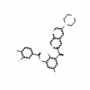 O=C(Nc1cc(F)cc(C(=O)c2cc3cc(N4CCOCC4)cnc3cn2)c1F)c1ccc(F)c(F)c1